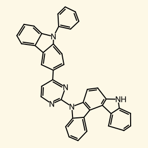 c1ccc(-n2c3ccccc3c3cc(-c4ccnc(-n5c6ccccc6c6c7c(ccc65)[nH]c5ccccc57)n4)ccc32)cc1